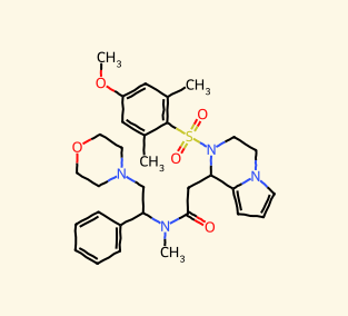 COc1cc(C)c(S(=O)(=O)N2CCn3cccc3C2CC(=O)N(C)C(CN2CCOCC2)c2ccccc2)c(C)c1